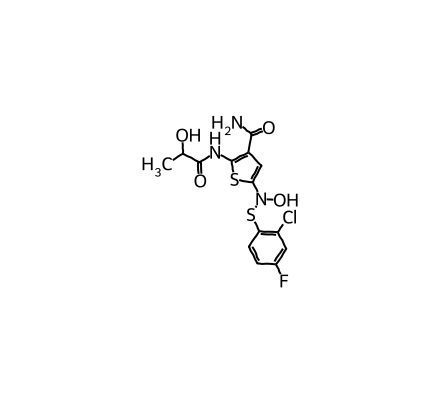 CC(O)C(=O)Nc1sc(N(O)Sc2ccc(F)cc2Cl)cc1C(N)=O